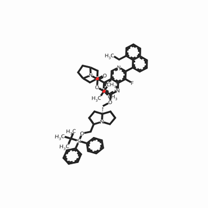 CCc1cccc2cccc(-c3ncc4c(N5CC6CCC(C5)N6C(=O)OC(C)(C)C)nc(OC[C@]56CCCN5C(CO[Si](c5ccccc5)(c5ccccc5)C(C)(C)C)CC6)nc4c3F)c12